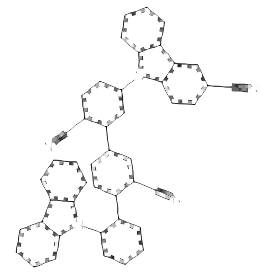 N#Cc1ccc2c(c1)c1ccccc1n2-c1ccc(C#N)c(-c2ccc(-c3ccccc3-n3c4ccccc4c4ccccc43)c(C#N)c2)c1